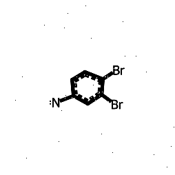 [N]c1ccc(Br)c(Br)c1